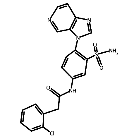 NS(=O)(=O)c1cc(NC(=O)Cc2ccccc2Cl)ccc1-n1cnc2ccncc21